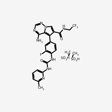 CS(=O)(=O)O.CS(=O)(=O)O.Cc1cccc(NC(=O)Nc2ccc(-c3c(C(=O)NCC(F)(F)F)cn4ncnc(N)c34)cc2F)n1